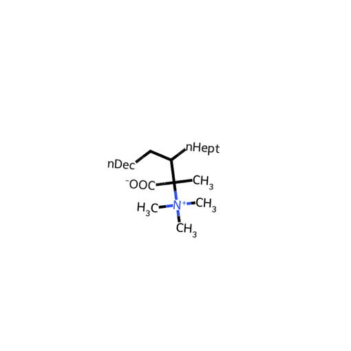 CCCCCCCCCCCC(CCCCCCC)C(C)(C(=O)[O-])[N+](C)(C)C